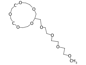 COCCOCCOCCOCC1COCCOCCOCCOCCO1